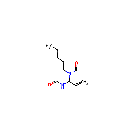 C=CC(NC=O)[N+](C=O)CCCCC